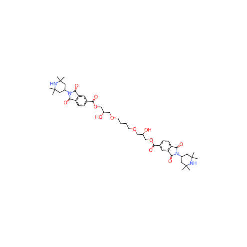 CC1(C)CC(N2C(=O)c3ccc(C(=O)OCC(O)COCCCCOCC(O)COC(=O)c4ccc5c(c4)C(=O)N(C4CC(C)(C)NC(C)(C)C4)C5=O)cc3C2=O)CC(C)(C)N1